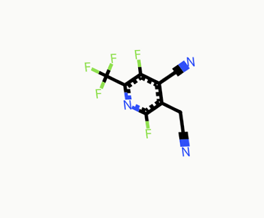 N#CCc1c(F)nc(C(F)(F)F)c(F)c1C#N